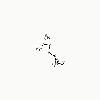 CC(C)CCC[NH2+][O-]